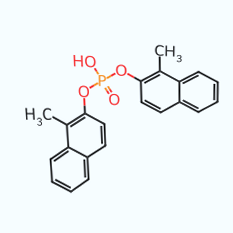 Cc1c(OP(=O)(O)Oc2ccc3ccccc3c2C)ccc2ccccc12